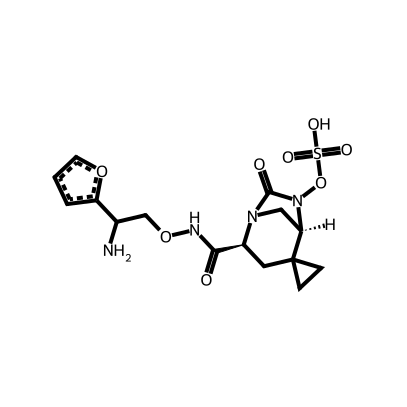 NC(CONC(=O)[C@@H]1CC2(CC2)[C@H]2CN1C(=O)N2OS(=O)(=O)O)c1ccco1